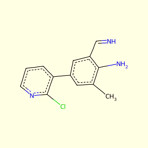 Cc1cc(-c2cccnc2Cl)cc(C=N)c1N